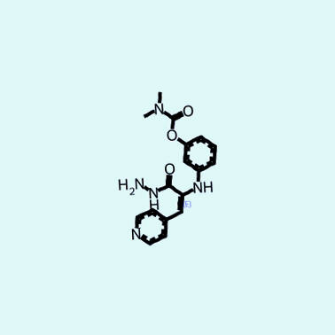 CN(C)C(=O)Oc1cccc(N/C(=C/c2ccncc2)C(=O)NN)c1